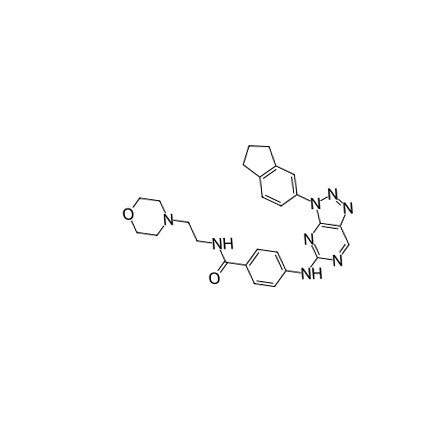 O=C(NCCN1CCOCC1)c1ccc(Nc2ncc3nnn(-c4ccc5c(c4)CCC5)c3n2)cc1